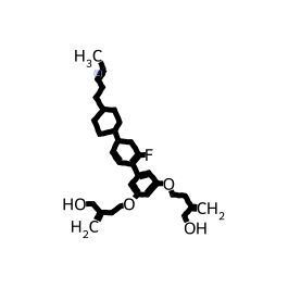 C=C(CO)CCOc1cc(OCCC(=C)CO)cc(C2=C(F)CC(C3CCC(CC/C=C/C)CC3)C=C2)c1